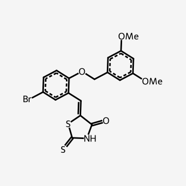 COc1cc(COc2ccc(Br)cc2/C=C2\SC(=S)NC2=O)cc(OC)c1